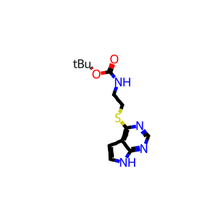 CC(C)(C)OC(=O)NCCSc1ncnc2[nH]ccc12